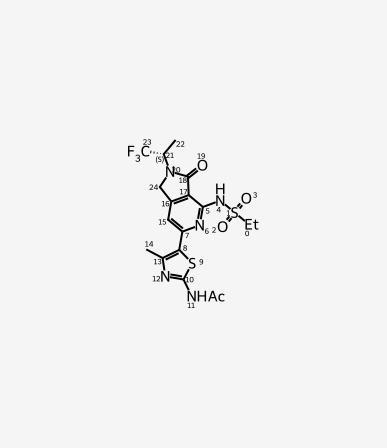 CCS(=O)(=O)Nc1nc(-c2sc(NC(C)=O)nc2C)cc2c1C(=O)N([C@@H](C)C(F)(F)F)C2